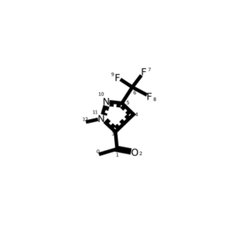 CC(=O)c1cc(C(F)(F)F)nn1C